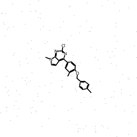 Cc1ccc(COc2ccc(-c3nc(Cl)nc4c3ccn4C)cc2C)cc1